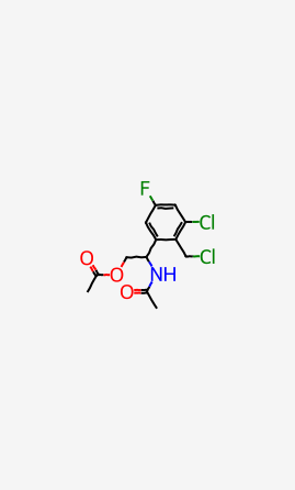 CC(=O)NC(COC(C)=O)c1cc(F)cc(Cl)c1CCl